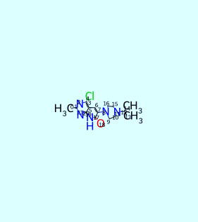 Cc1nc(Cl)c2cc(N3CCN(C(C)C)CC3)c(=O)[nH]c2n1